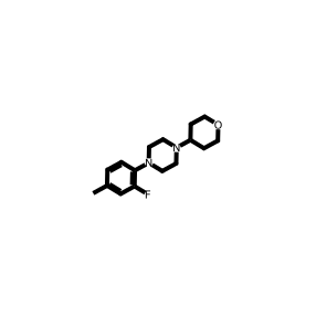 Cc1ccc(N2CCN(C3CCOCC3)CC2)c(F)c1